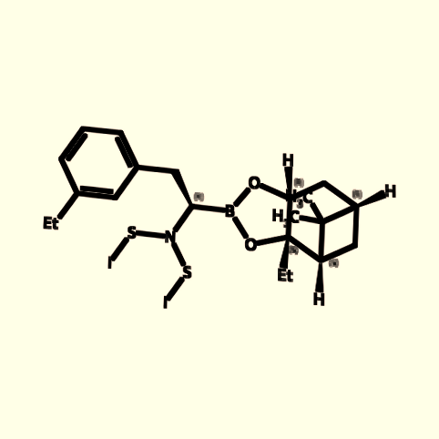 CCc1cccc(C[C@@H](B2O[C@@H]3C[C@@H]4C[C@@H](C4(C)C)[C@]3(CC)O2)N(SI)SI)c1